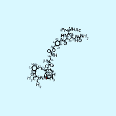 C=C1N[C@H]2C#C/C=C\C#C[C@@H](OC(=O)NCCNC(=O)OCc3ccc(NC(=O)[C@H](CCCNC(N)=O)NC(=O)[C@@H](NC(C)=O)C(C)C)cc3)C3(OCc4ccccc4C(=O)C1=C)O[C@@]23[C@@H](C)O